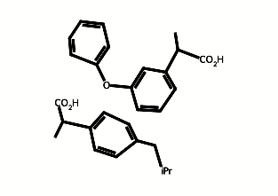 CC(C(=O)O)c1cccc(Oc2ccccc2)c1.CC(C)Cc1ccc(C(C)C(=O)O)cc1